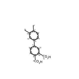 Cc1ccc(-c2ccc(C(=O)O)c(C(=O)O)c2)cc1C